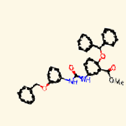 COC(=O)c1cc(NC(=O)Nc2cccc(OCc3ccccc3)c2)ccc1OC(c1ccccc1)c1ccccc1